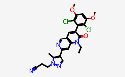 CCn1c(=O)c(-c2c(Cl)c(OC)cc(OC)c2Cl)cc2cnc(-c3cnn(CCC#N)c3C)cc21